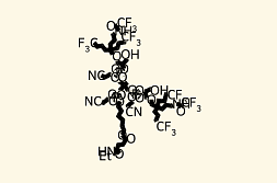 CCNC(=O)CCC(=O)OCCCCCCOP(=O)(OCCC#N)OCC(C)(COP(=O)(OCCC#N)OC(CO)COCC(CCCNC(=O)C(F)(F)F)(CCCC(F)(F)F)CCCC(F)(F)F)COP(=O)(OCCC#N)OC(CO)COCC(CCCNC(=O)C(F)(F)F)(CCCC(F)(F)F)CCCC(F)(F)F